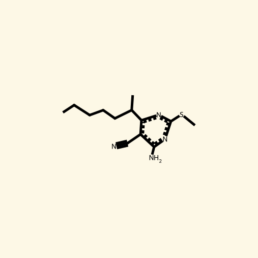 CCCCCC(C)c1nc(SC)nc(N)c1C#N